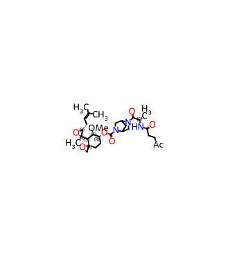 CO[C@@H]1[C@H](OC(=O)N2CC3CC2CN3C(=O)[C@H](C)NC(=O)CCC(C)=O)CC[C@]2(CO2)[C@H]1[C@@]1(C)O[C@@H]1CC=C(C)C